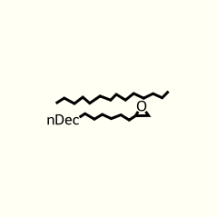 CCCCCCCCCCCCCC.CCCCCCCCCCCCCCCCC1CO1